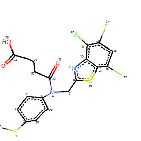 CSc1ccc(N(Cc2nc3c(F)c(F)cc(F)c3s2)C(=O)CCC(=O)O)cc1